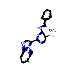 C[C@H](Nc1nc(-c2cnc3ccc(F)cn23)ncc1[N+](=O)[O-])c1ccccc1